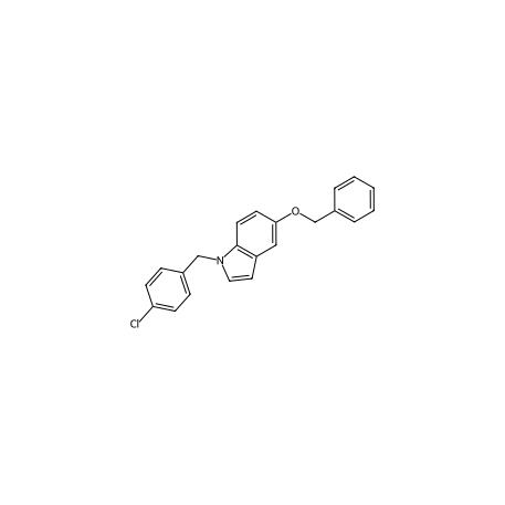 Clc1ccc(Cn2ccc3cc(OCc4ccccc4)ccc32)cc1